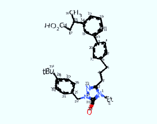 CCn1c(CCCc2ccc(-c3cccc(C(C)CC(=O)O)c3)cc2)nn(Cc2ccc(C(C)(C)C)cc2)c1=O